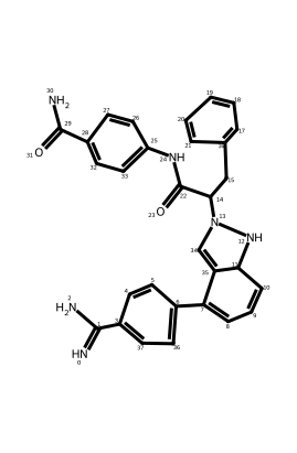 N=C(N)c1ccc(C2=CC=CC3NN(C(Cc4ccccc4)C(=O)Nc4ccc(C(N)=O)cc4)C=C23)cc1